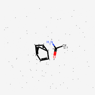 C1=CC2=CC=C1C2.NC(=O)C(F)(F)F